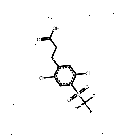 O=C(O)CCc1cc(Cl)c(S(=O)(=O)C(F)(F)F)cc1Cl